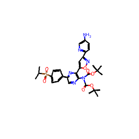 CC(C)S(=O)(=O)c1ccc(-c2cnc(N(C(=O)OC(C)(C)C)C(=O)OC(C)(C)C)c(-c3cc(-c4ccc(N)cn4)no3)n2)cc1